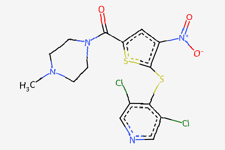 CN1CCN(C(=O)c2cc([N+](=O)[O-])c(Sc3c(Cl)cncc3Cl)s2)CC1